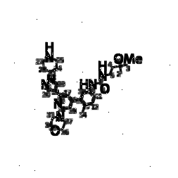 COC(C)(C)CCNC(=O)Nc1ccc(C)c(-c2cc(-c3cnn(C4CCNCC4)c3)nc(N3CCOCC3)c2)c1